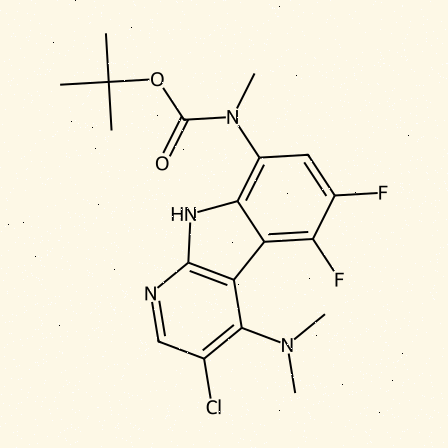 CN(C)c1c(Cl)cnc2[nH]c3c(N(C)C(=O)OC(C)(C)C)cc(F)c(F)c3c12